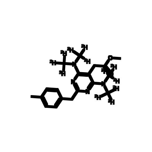 [2H]C([2H])([2H])N(c1nc(Cc2ccc(C)cc2)nc(N(C([2H])([2H])[2H])C([2H])([2H])[2H])c1CC(=O)OC)C([2H])([2H])[2H]